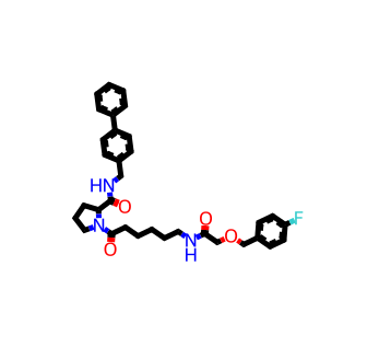 O=C(COCc1ccc(F)cc1)NCCCCCC(=O)N1CCCC1C(=O)NCc1ccc(-c2ccccc2)cc1